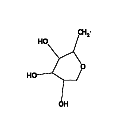 [CH2]C1OCC(O)C(O)C1O